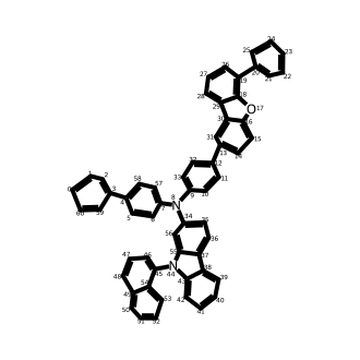 c1ccc(-c2ccc(N(c3ccc(-c4ccc5oc6c(-c7ccccc7)cccc6c5c4)cc3)c3ccc4c5ccccc5n(-c5cccc6ccccc56)c4c3)cc2)cc1